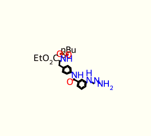 CCCCS(=O)(=O)N[C@@H](Cc1ccc(NC(=O)c2cccc(NC=NN)c2)cc1)C(=O)OCC